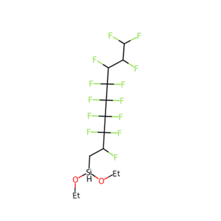 CCO[SiH](CC(F)C(F)(F)C(F)(F)C(F)(F)C(F)(F)C(F)C(F)C(F)F)OCC